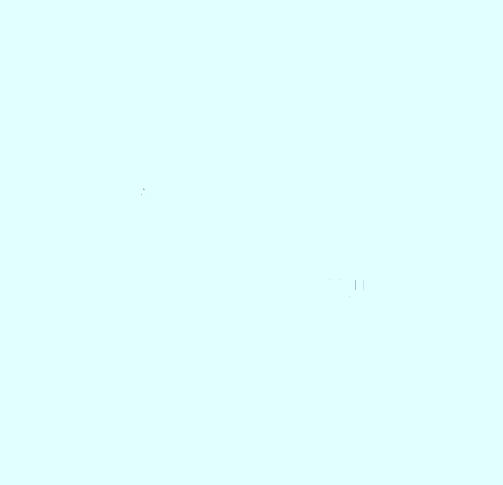 CC(=O)OCCCC/C=C/C(=O)O